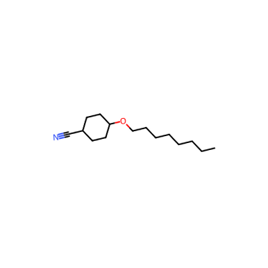 CCCCCCCCOC1CCC(C#N)CC1